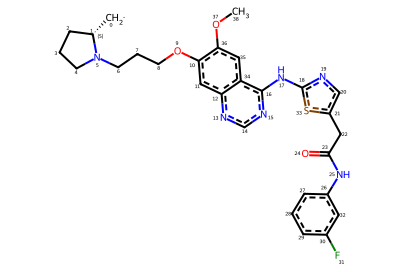 [CH2][C@H]1CCCN1CCCOc1cc2ncnc(Nc3ncc(CC(=O)Nc4cccc(F)c4)s3)c2cc1OC